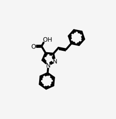 O=C(O)c1cn(-c2ccccc2)nc1C=Cc1ccccc1